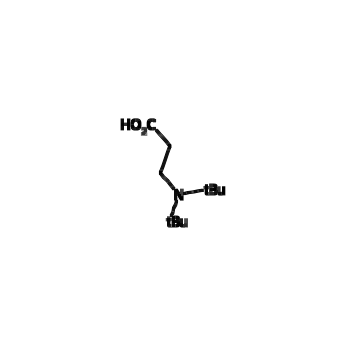 CC(C)(C)N(CCC(=O)O)C(C)(C)C